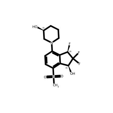 CS(=O)(=O)c1ccc(N2CCC[C@H](O)C2)c2c1[C@H](O)C(F)(F)[C@@H]2F